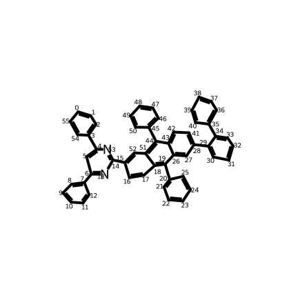 c1ccc(-c2cc(-c3ccccc3)nc(-c3ccc4c(-c5ccccc5)c5cc(-c6ccccc6-c6ccccc6)ccc5c(-c5ccccc5)c4c3)n2)cc1